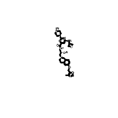 Cc1ncoc1COc1ccc2c(c1)CCN(C[C@@H](O)CNC(=O)c1cc(NC3COC3)nc(N3CCN(C(C)C)CC3)n1)C2